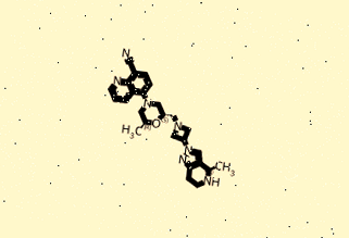 C[C@@H]1CN(c2ccc(C#N)c3ncccc23)C[C@H](CN2CC(n3cc4c(n3)CCN[C@@H]4C)C2)O1